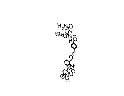 C[C@@H](OCc1ccc(CCCOCc2cccc3c2n(C)c(=O)n3C2CCC(=O)NC2=O)cc1)[C@H](CCC(N)=O)NC(=O)OC(C)(C)C